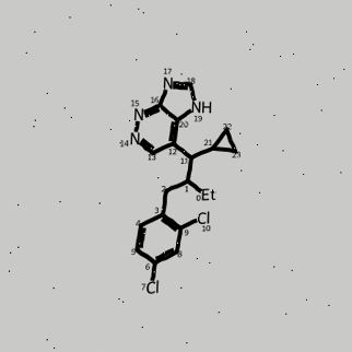 CCC(Cc1ccc(Cl)cc1Cl)C(c1cnnc2nc[nH]c12)C1CC1